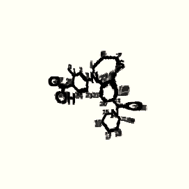 CC1C=C(N2CCCSc3cc(C(=O)N4CCCCC4)ccc32)C=CC1C(=O)O